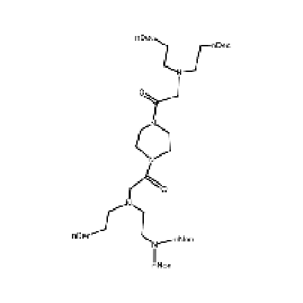 CCCCCCCCCCCCN(CCCCCCCCCCCC)CC(=O)N1CCN(C(=O)CN(CCCCCCCCCCCC)CCN(CCCCCCCCC)CCCCCCCCC)CC1